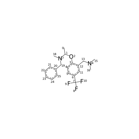 CC(Oc1ccc(C(F)(F)F)cc1CN(C)C)N(C)Cc1ccccc1